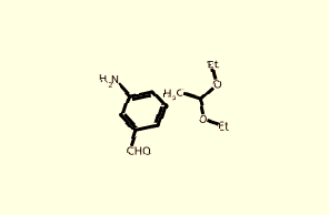 CCOC(C)OCC.Nc1cccc(C=O)c1